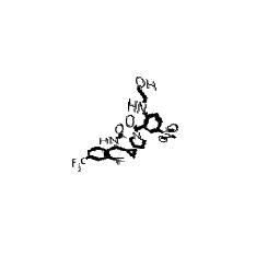 CS(=O)(=O)c1ccc(NCCO)c(C(=O)N2CCC[C@@H]2C(=O)N[C@@H](c2ccc(C(F)(F)F)cc2F)C2CC2)c1